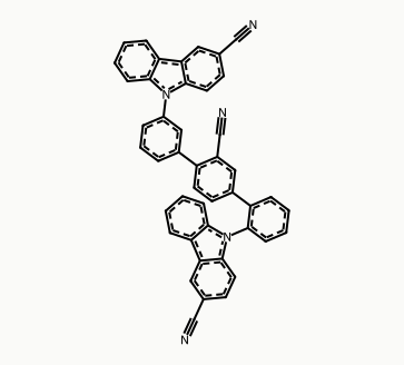 N#Cc1ccc2c(c1)c1ccccc1n2-c1cccc(-c2ccc(-c3ccccc3-n3c4ccccc4c4cc(C#N)ccc43)cc2C#N)c1